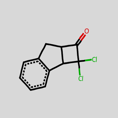 O=C1C2Cc3ccccc3C2C1(Cl)Cl